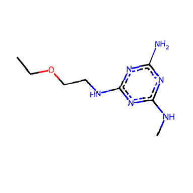 CCOCCNc1nc(N)nc(NC)n1